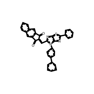 O=C1C(=Cc2nc3sc(-c4ccccc4)nc3n2-c2ccc(-c3ccccc3)cc2)C(=O)c2cc3ccccc3cc21